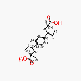 CCC(CC(C)(C)C(=O)O)c1ccc(C(CC)CC(C)(C)C(=O)O)cc1